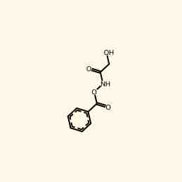 O=C(CO)NOC(=O)c1ccccc1